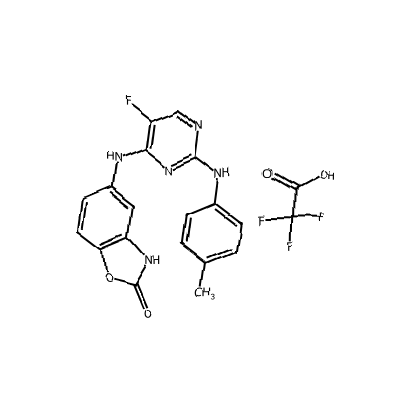 Cc1ccc(Nc2ncc(F)c(Nc3ccc4oc(=O)[nH]c4c3)n2)cc1.O=C(O)C(F)(F)F